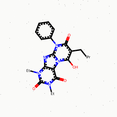 CCn1c(=O)c2c(nc3n(-c4ccccc4)c(=O)c(CC(C)C)c(O)n23)n(CC)c1=O